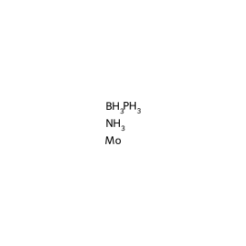 B.N.P.[Mo]